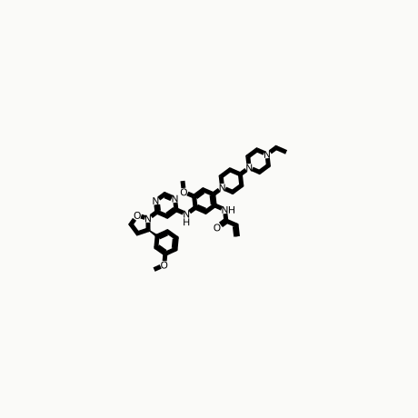 C=CC(=O)Nc1cc(Nc2cc(N3OCC[C@@H]3c3cccc(OC)c3)ncn2)c(OC)cc1N1CCC(N2CCN(CC)CC2)CC1